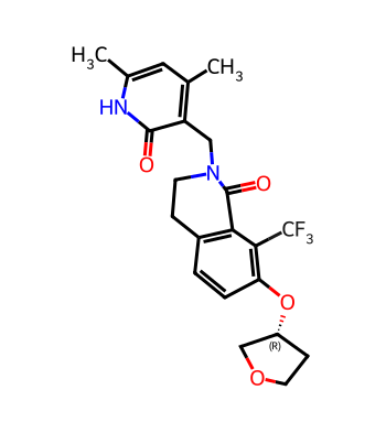 Cc1cc(C)c(CN2CCc3ccc(O[C@@H]4CCOC4)c(C(F)(F)F)c3C2=O)c(=O)[nH]1